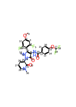 COc1cc(F)c(-c2c(NC(=O)c3ccc(OC(F)F)cc3)c(=O)n(-c3cccn(C)c3=O)n2C)c(F)c1